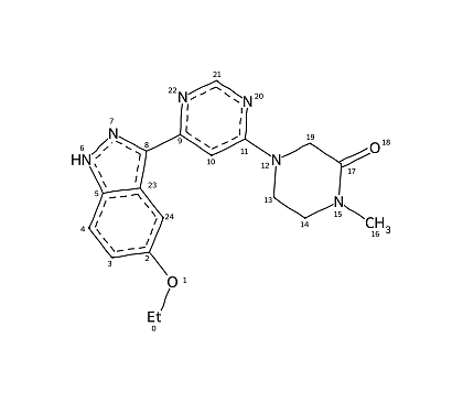 CCOc1ccc2[nH]nc(-c3cc(N4CCN(C)C(=O)C4)ncn3)c2c1